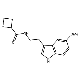 COc1ccc2[nH]cc(CCNC(=O)C3CCC3)c2c1